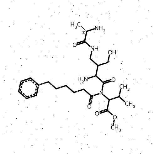 COC(=O)C(C(C)C)N(C(=O)CCCCCc1ccccc1)C(=O)C(N)C(CO)CNC(=O)[C@H](C)N